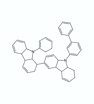 C1=CCCC(N2C3C=CC=CC3C3C=CCC(C4=CC5C6C=CCCC6N(c6cccc(-c7ccccc7)c6)C5C=C4)C32)=C1